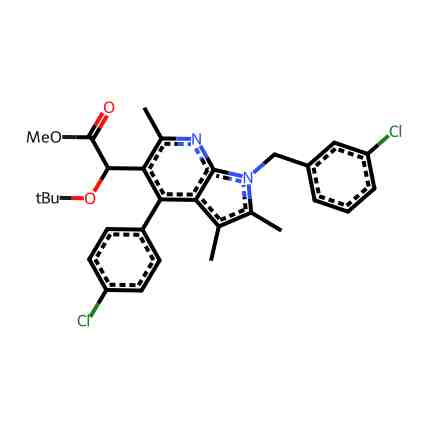 COC(=O)C(OC(C)(C)C)c1c(C)nc2c(c(C)c(C)n2Cc2cccc(Cl)c2)c1-c1ccc(Cl)cc1